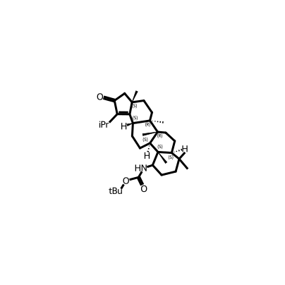 CC(C)C1=C2[C@H]3CC[C@@H]4[C@@]5(C)C(NC(=O)OC(C)(C)C)CCC(C)(C)[C@@H]5CC[C@@]4(C)[C@]3(C)CC[C@@]2(C)CC1=O